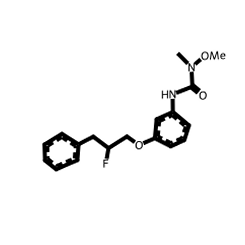 CON(C)C(=O)Nc1cccc(OCC(F)Cc2ccccc2)c1